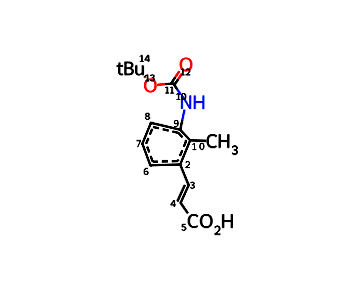 Cc1c(C=CC(=O)O)cccc1NC(=O)OC(C)(C)C